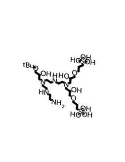 CC(C)(C)OCC(O)CN(CCNCCN)CCNCCN(CC(O)COCCC[Si](O)(O)O)CC(O)COCCC[Si](O)(O)O